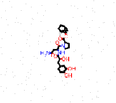 CC1(C)C2CC[C@]1(C)C(OC(=O)C1CCCN1C(=O)C(CC(N)=O)NC(=O)C(O)Cc1ccc(O)c(O)c1)C2